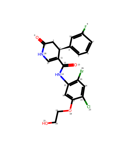 O=C1C[C@@H](c2cccc(F)c2)C(C(=O)Nc2cc(OCCO)c(Cl)cc2Br)=CN1